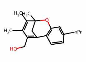 CCCc1ccc2c(c1)OC1(C)CC2=C(CO)C(C)=C1C